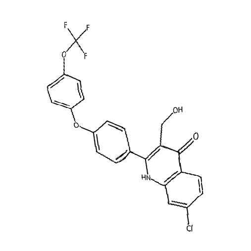 O=c1c(CO)c(-c2ccc(Oc3ccc(OC(F)(F)F)cc3)cc2)[nH]c2cc(Cl)ccc12